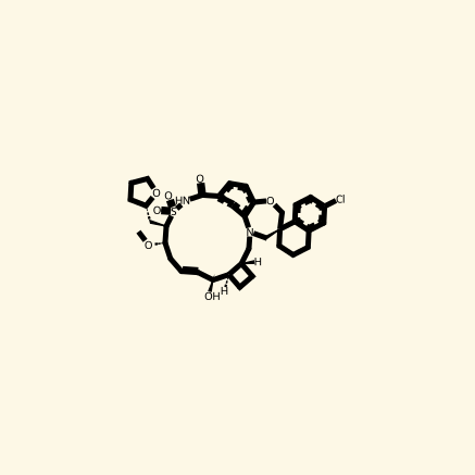 CO[C@H]1C/C=C/[C@H](O)[C@@H]2CC[C@H]2CN2C[C@@]3(CCCc4cc(Cl)ccc43)COc3ccc(cc32)C(=O)NS(=O)(=O)[C@@H]1C[C@@H]1CCCO1